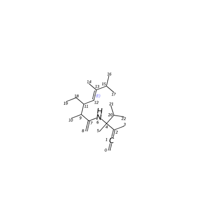 C=C=C(C)C(C)(NC(=C)C(C)C(/C=C(\C)C(C)C)CC)C(C)C